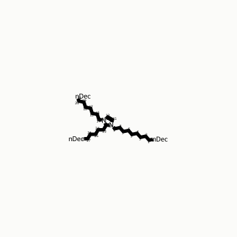 CCCCCCCCCCCCCCCCCCCN1C=CN(CCCCCCCCCCCCCCCCC)C1CCCCCCCCCCCCCCC